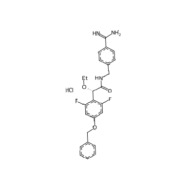 CCO[C@H](C(=O)NCc1ccc(C(=N)N)cc1)c1c(F)cc(OCc2ccccc2)cc1F.Cl